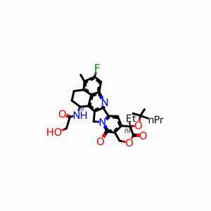 CCCC(C)(C)O[C@]1(CC)C(=O)OCc2c1cc1n(c2=O)Cc2c-1nc1cc(F)c(C)c3c1c2[C@@H](NC(=O)CO)CC3